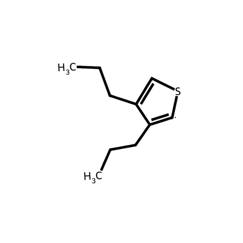 CCCc1[c]scc1CCC